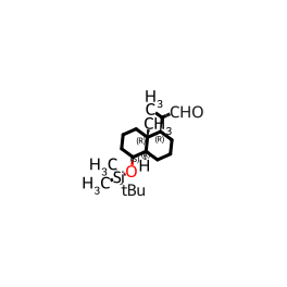 CC(C=O)[C@H]1CCC[C@H]2[C@@H](O[Si](C)(C)C(C)(C)C)CCC[C@]12C